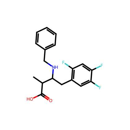 CC(C(=O)O)C(Cc1cc(F)c(F)cc1F)NCc1ccccc1